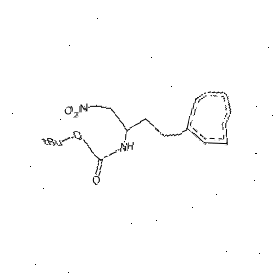 CC(C)(C)OC(=O)NC(CCc1ccccc1)C[N+](=O)[O-]